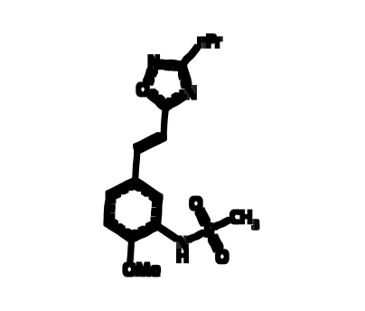 CCCc1noc(/C=C/c2ccc(OC)c(NS(C)(=O)=O)c2)n1